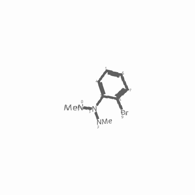 CNN(NC)c1ccccc1Br